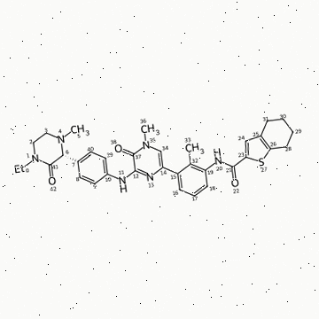 CCN1CCN(C)[C@H](c2ccc(Nc3nc(-c4cccc(NC(=O)c5cc6c(s5)CCCC6)c4C)cn(C)c3=O)cc2)C1=O